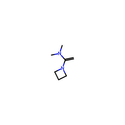 C=C(N(C)C)N1CCC1